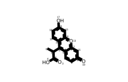 CC(C(=O)O)c1c2ccc(=O)cc-2oc2cc(O)ccc12